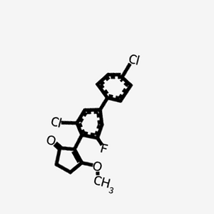 COC1=C(c2c(F)cc(-c3ccc(Cl)cc3)cc2Cl)C(=O)CC1